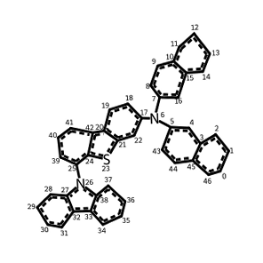 c1ccc2cc(N(c3ccc4ccccc4c3)c3ccc4c(c3)sc3c(-n5c6ccccc6c6ccccc65)cccc34)ccc2c1